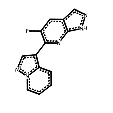 Fc1cc2cn[nH]c2nc1-c1cnn2ccccc12